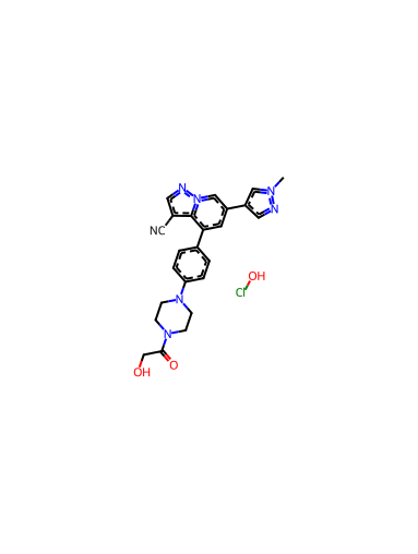 Cn1cc(-c2cc(-c3ccc(N4CCN(C(=O)CO)CC4)cc3)c3c(C#N)cnn3c2)cn1.OCl